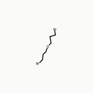 BrCCCOCCCBr